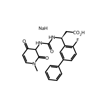 CN1C=CC(=O)C(NC(=O)N[C@@H](CC(=O)O)c2cc(-c3ccccc3)ccc2F)C1=O.[NaH]